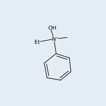 CC[N+](C)(O)c1ccccc1